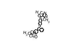 Cc1ncnc(C)c1C(=O)N1CC2CN(CCC3(c4ccccc4)CCN(CC(C)(C)C=O)CC3)CC2C1